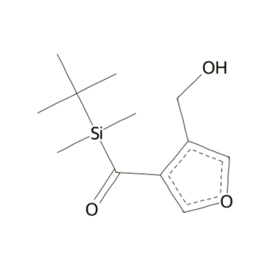 CC(C)(C)[Si](C)(C)C(=O)c1cocc1CO